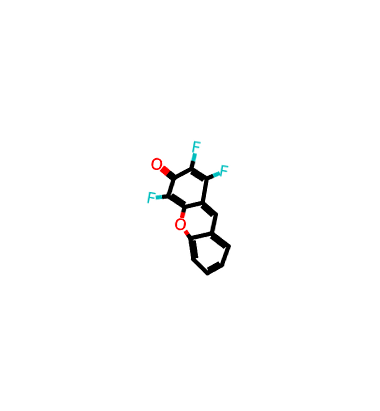 O=c1c(F)c2oc3ccccc3cc-2c(F)c1F